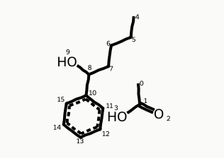 CC(=O)O.CCCCC(O)c1ccccc1